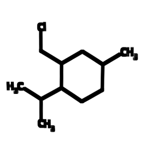 CC1CCC(C(C)C)C(CCl)C1